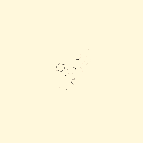 COc1cccc(C[C@@]2(C(=O)N[C@H](C(N)=O)[C@@H](C)O)CCCN2C(=O)[C@@H]2CCCN2C(=O)[C@@H](C)[C@@H](C)O)c1